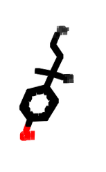 CCC(C)(CCC(C)C)c1ccc(O)cc1